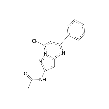 CC(=O)Nc1cc2nc(-c3ccccc3)cc(Cl)n2n1